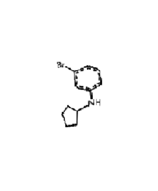 Brc1cccc(NC2CCCC2)c1